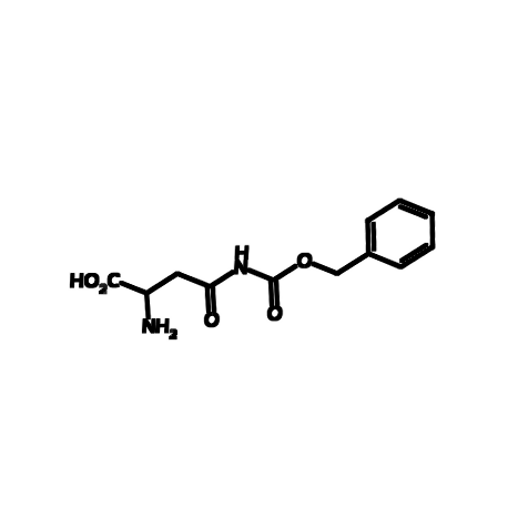 NC(CC(=O)NC(=O)OCc1ccccc1)C(=O)O